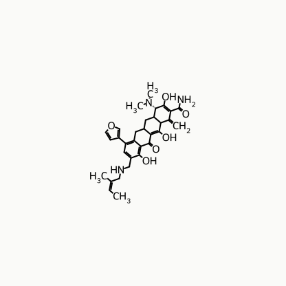 C=C1C(C(N)=O)=C(O)[C@@H](N(C)C)C2CC3Cc4c(-c5ccoc5)cc(CNC/C(C)=C\C)c(O)c4C(=O)C3=C(O)C12